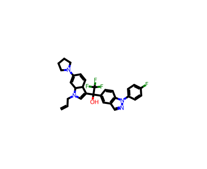 C=CCN1C=C(C(O)(c2ccc3c(cnn3-c3ccc(F)cc3)c2)C(F)(F)F)C2C=CC(N3CCCC3)=CC21